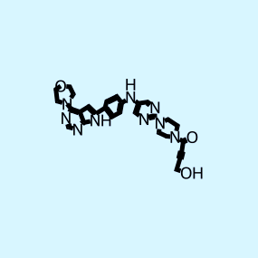 O=C(C#CCO)N1CCN(c2ncc(Nc3ccc(-c4cc5c(N6CCOCC6)ncnc5[nH]4)cc3)cn2)CC1